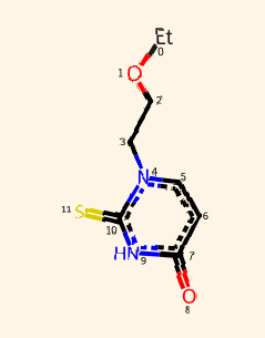 CCOCCn1ccc(=O)[nH]c1=S